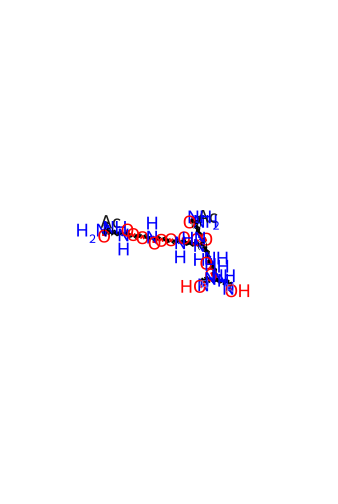 CC(=O)CN[C@@H](CCCCNC(=O)COCCOCCNC(=O)COCCOCCNC(=O)CCCC(=O)N[C@@H](CCCCNC(=O)CCCC(=O)NC(CNC(C)(C)/C(C)=N/O)CNC(C)(C)/C(C)=N/O)C(=O)NCCCC[C@H](NCC(C)=O)C(N)=O)C(N)=O